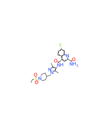 CCS(=O)(=O)N1CCC(Cn2nc(C)c(NC(=O)c3cc(C(N)=O)nc4cc(F)ccc34)c2C)CC1